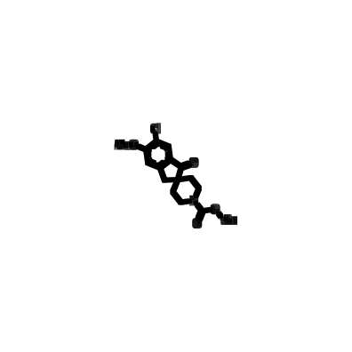 COc1cc2c(cc1Cl)C(=O)C1(CCN(C(=O)OC(C)(C)C)CC1)C2